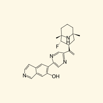 C=C(c1cnc(-c2cc3ccncc3cc2O)cn1)[C@@H]1C[C@@]2(C)CCC[C@](C)(N2)[C@H]1F